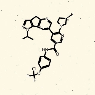 CC(C)n1ncc2c1-c1cc(-c3cc(C(=O)Nc4ccc(OC(F)(F)Cl)cc4)cnc3N3CC[C@@H](F)C3)cnc1C2